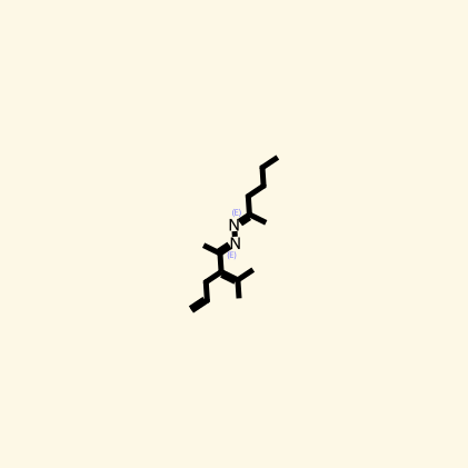 C=CCC(=C(C)C)/C(C)=N/N=C(\C)CCCC